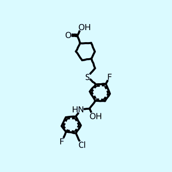 O=C(O)C1CCC(CSc2cc(C(O)Nc3ccc(F)c(Cl)c3)ccc2F)CC1